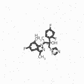 Cc1nn([C@H](C)[C@](O)(Cn2cncn2)c2ccc(F)cc2F)c2c(C)cc(F)cc12